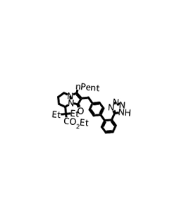 CCCCCc1c(Cc2ccc(-c3ccccc3-c3nnn[nH]3)cc2)c(=O)n2n1CCCC2C(CC)(CC)C(=O)OCC